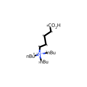 CCCC[N+](CCCC)(CCCC)CCCCC(=O)O